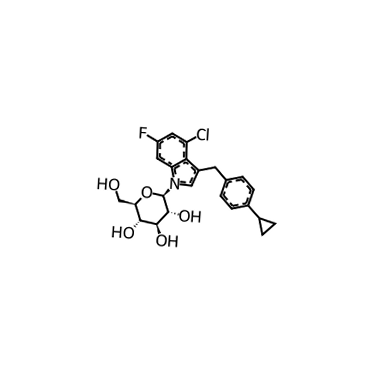 OC[C@H]1O[C@@H](n2cc(Cc3ccc(C4CC4)cc3)c3c(Cl)cc(F)cc32)[C@H](O)[C@@H](O)[C@@H]1O